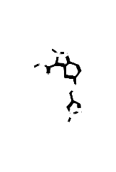 COC(=O)c1c2cc(OCc3cnn(C)c3)ccc2nn1C